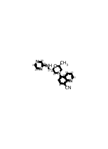 C[C@@H]1CN(c2ccc(C#N)c3ncccc23)C[C@H](CNc2cnccn2)O1